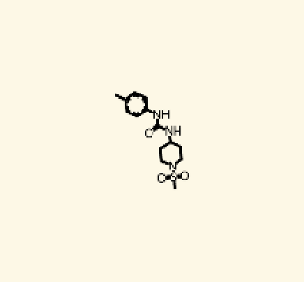 Cc1ccc(NC(=O)NC2CCN(S(C)(=O)=O)CC2)cc1